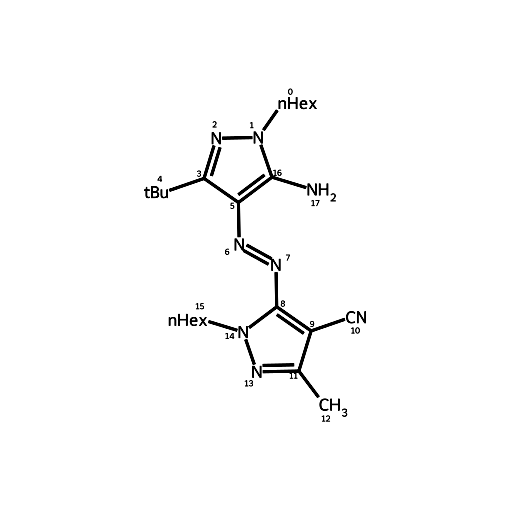 CCCCCCn1nc(C(C)(C)C)c(N=Nc2c(C#N)c(C)nn2CCCCCC)c1N